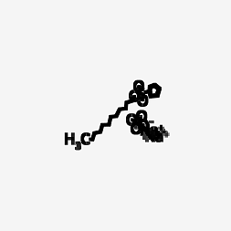 CCCCCCCCCCCCOS(=O)(=O)c1ccccc1.O=P([O-])([O-])[O-].[Na+].[Na+].[Na+]